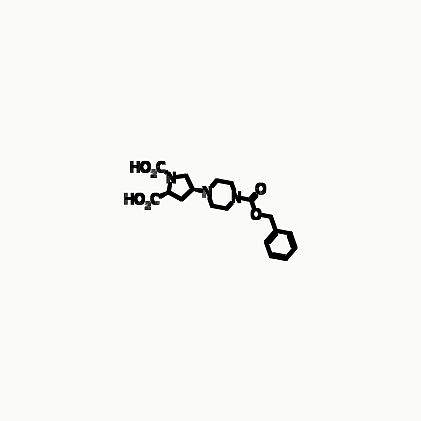 O=C(O)[C@@H]1C[C@H](N2CCN(C(=O)OCc3ccccc3)CC2)CN1C(=O)O